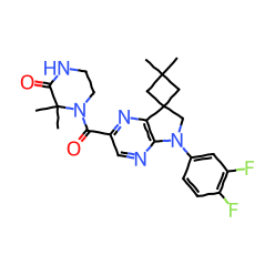 CC1(C)CC2(CN(c3ccc(F)c(F)c3)c3ncc(C(=O)N4CCNC(=O)C4(C)C)nc32)C1